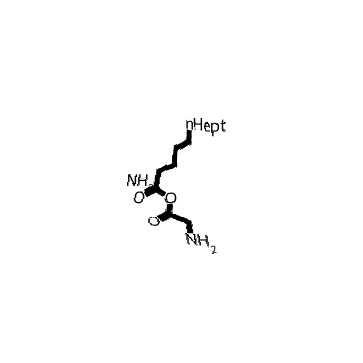 CCCCCCCCCCCC(=O)OC(=O)CN.N